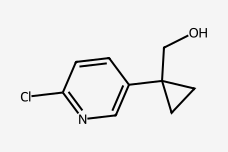 OCC1(c2ccc(Cl)nc2)CC1